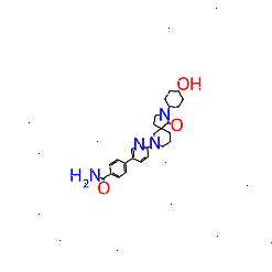 NC(=O)c1ccc(-c2ccc(N3CCCC4(CCN(C5CCC(O)CC5)C4=O)C3)nc2)cc1